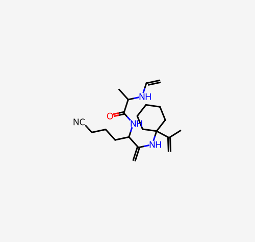 C=CNC(C)C(=O)NC(CCCC#N)C(=C)NC1(C(=C)C)CCCCC1